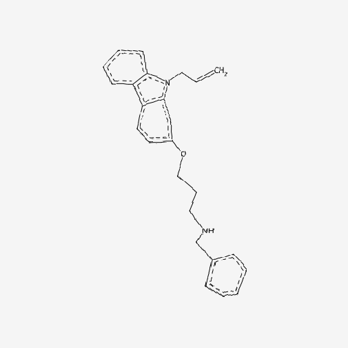 C=CCn1c2ccccc2c2ccc(OCCCNCc3ccccc3)cc21